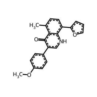 COc1ccc(-c2c[nH]c3c(-c4ccco4)ccc(C)c3c2=O)cc1